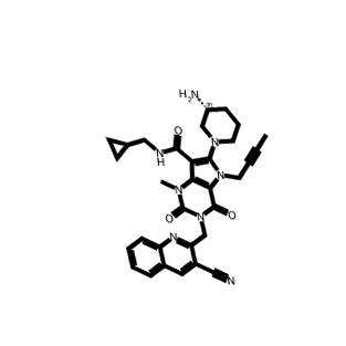 CC#CCn1c(N2CCC[C@@H](N)C2)c(C(=O)NCC2CC2)c2c1c(=O)n(Cc1nc3ccccc3cc1C#N)c(=O)n2C